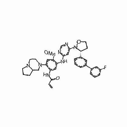 C=CC(=O)Nc1cc(Nc2cc(N3OCC[C@@H]3c3cccc(-c4cccc(F)c4)c3)ncn2)c(OC)cc1N1CCN2CCCC2C1